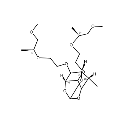 COC[C@H](C)OCCOC1C2OC3O[C@@H]1C(OCCO[C@@H](C)COC)[C@@H](O3)[C@@H]2C